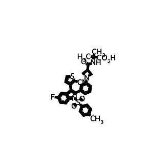 Cc1ccc(S(=O)(=O)n2c(-c3cccc(N4CC(C(=O)NC(C)(C)C(=O)O)C4)c3)c(-c3ccsc3C#N)c3cc(F)ccc32)cc1